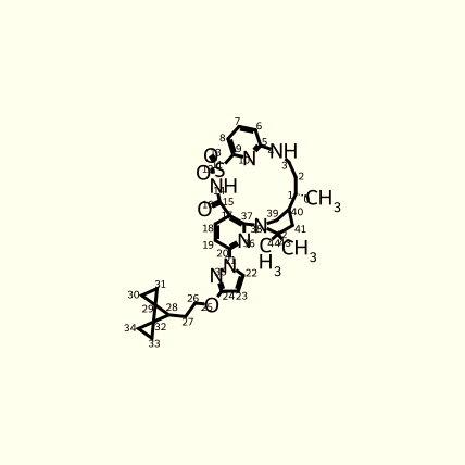 C[C@H]1CCNc2cccc(n2)S(=O)(=O)NC(=O)c2ccc(-n3ccc(OCCC4C5(CC5)C45CC5)n3)nc2N2CC1CC2(C)C